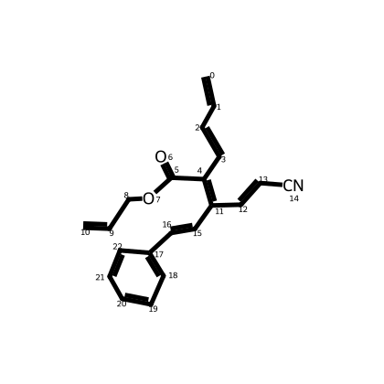 C=CC=CC(C(=O)OCC=C)=C(C=CC#N)C=Cc1ccccc1